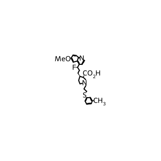 COc1ccc2nccc([C@H](F)CC[C@@H]3CCN(CCCSc4cccc(C)c4)C[C@@H]3C(=O)O)c2c1